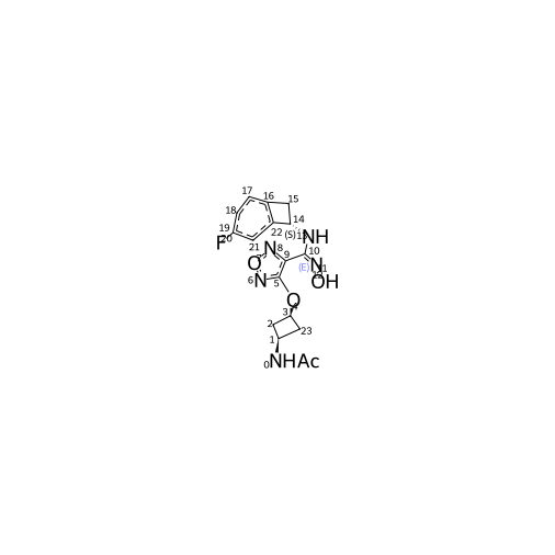 CC(=O)N[C@H]1C[C@@H](Oc2nonc2/C(=N\O)N[C@H]2Cc3ccc(F)cc32)C1